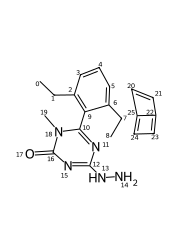 CCc1cccc(CC)c1-c1nc(NN)nc(=O)n1C.c1cc2ccc1-2